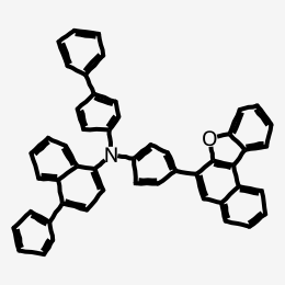 c1ccc(-c2ccc(N(c3ccc(-c4cc5ccccc5c5c4oc4ccccc45)cc3)c3ccc(-c4ccccc4)c4ccccc34)cc2)cc1